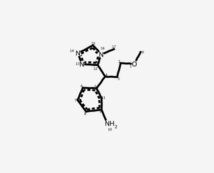 COCCC(c1cccc(N)c1)c1nncn1C